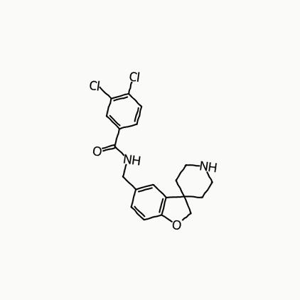 O=C(NCc1ccc2c(c1)C1(CCNCC1)CO2)c1ccc(Cl)c(Cl)c1